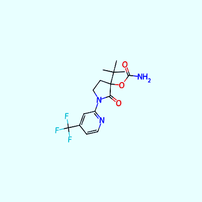 CC(C)(C)C1(OC(N)=O)CCN(c2cc(C(F)(F)F)ccn2)C1=O